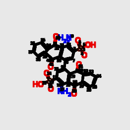 Nc1c(S(=O)(=O)O)cc(-c2cc(S(=O)(=O)O)c(N)c3c2C(=O)c2ccccc2C3=O)c2c1C(=O)c1ccccc1C2=O